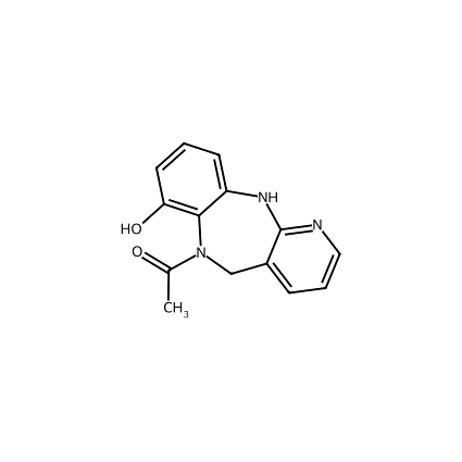 CC(=O)N1Cc2cccnc2Nc2cccc(O)c21